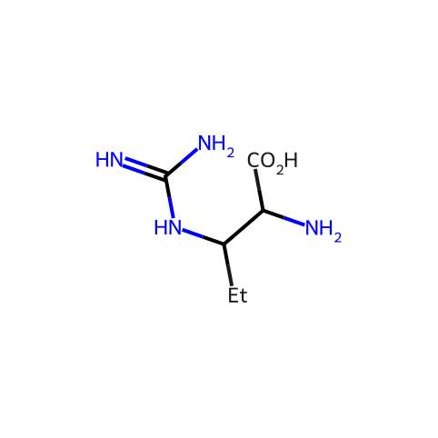 CCC(NC(=N)N)C(N)C(=O)O